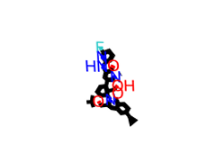 Cn1cc(-c2cccc(-n3c(COC(C)(C)C)cc4cc(C5CC5)ccc4c3=O)c2CO)cc(Nc2cccc(F)n2)c1=O